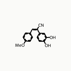 COc1ccc(C=C(C#N)c2ccc(O)c(O)c2)cc1